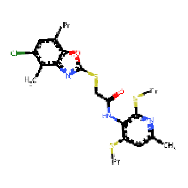 Cc1cc(SC(C)C)c(NC(=O)CSc2nc3c(C)c(Cl)cc(C(C)C)c3o2)c(SC(C)C)n1